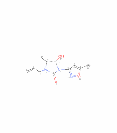 C=CCN1C(=O)N(c2cc(C(C)C)on2)C(O)C1C